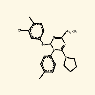 Cc1ccc(N2C(N3CCCC3)=NC(N)=NC2Nc2ccc(C)c(Cl)c2)cc1.Cl